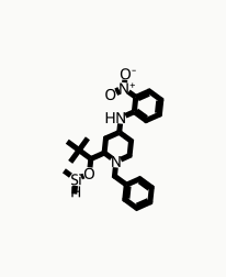 C[SiH](C)OC(C1CC(Nc2ccccc2[N+](=O)[O-])CCN1Cc1ccccc1)C(C)(C)C